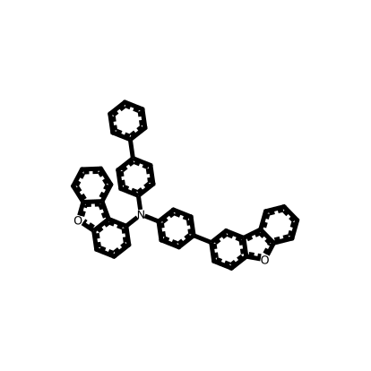 c1ccc(-c2ccc(N(c3ccc(-c4ccc5oc6ccccc6c5c4)cc3)c3cccc4oc5ccccc5c34)cc2)cc1